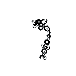 C=CC(=O)N1CCC(S(=O)(=O)c2ccc(N3CC(CN4CCC([C@@]5([C@H]6CCC[C@@H]6OC(=O)NC)CN(C)Cc6ccccc65)CC4)C3)cc2)CC1